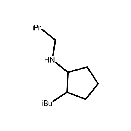 CCC(C)C1CCCC1NCC(C)C